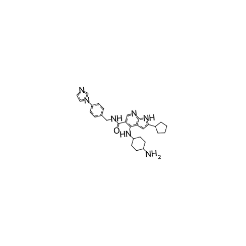 NC1CCC(Nc2c(C(=O)NCc3ccc(-n4ccnc4)cc3)cnc3[nH]c(C4CCCC4)cc23)CC1